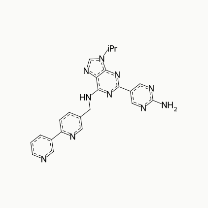 CC(C)n1cnc2c(NCc3ccc(-c4cccnc4)nc3)nc(-c3cnc(N)nc3)nc21